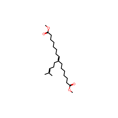 COC(=O)CCCCCCC=C(CCC=C(C)C)CCCCCCC(=O)OC